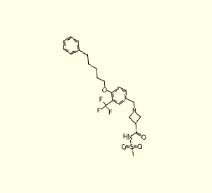 CS(=O)(=O)NC(=O)C1CN(Cc2ccc(OCCCCCc3ccccc3)c(C(F)(F)F)c2)C1